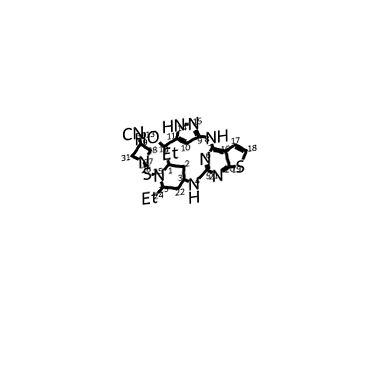 CCC1CC(Nc2nc(Nc3cc(CO)[nH]n3)c3ccsc3n2)CC(CC)N1SN1CC(C#N)C1